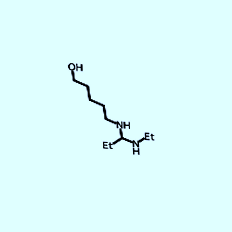 CCNC(CC)NCCCCCO